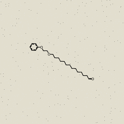 O=CCCCCCCCCCCCCCOCCOc1ccccc1